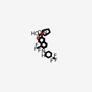 O=C(O)C1CC2CCC(C1)N2C(=O)c1ccc2c(C(F)(F)F)c(N[C@H]3CC[C@@H](C(F)(F)F)CC3)ccc2c1